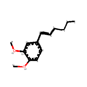 [CH2]CCCC=Cc1ccc(OC)c(OC)c1